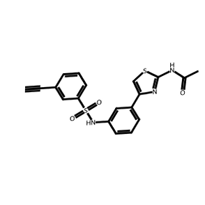 C#Cc1cccc(S(=O)(=O)Nc2cccc(-c3csc(NC(C)=O)n3)c2)c1